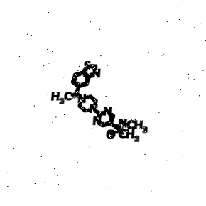 CN=[S@@](C)(=O)c1cnc(N2CCN([C@@H](C)c3ccc4scnc4c3)CC2)nc1